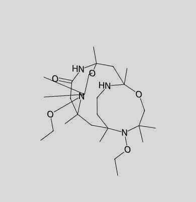 CCON1C(C)(C)COC2(C)CC3(C)NC(=O)CC(C)(CC1(C)CCN2)N(OCC)C(C)(C)CO3